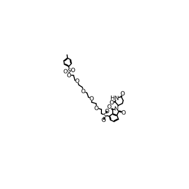 Cc1ccc(S(=O)(=O)OCCOCCOCCOCCOCCS(=O)(=O)c2cccc3c2C(=O)N(C2CCC(=O)NC2=O)C3=O)cc1